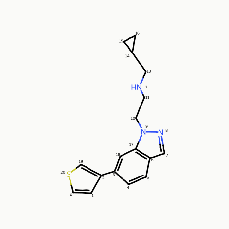 c1cc(-c2ccc3cnn(CCNCC4CC4)c3c2)cs1